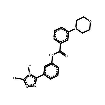 CCc1nnc(-c2cccc(NC(=O)c3cc(N4CCOCC4)ccn3)c2)n1CC